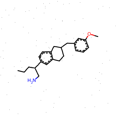 CCCC(CN)c1ccc2c(c1)CCC(Cc1cccc(OC)c1)C2